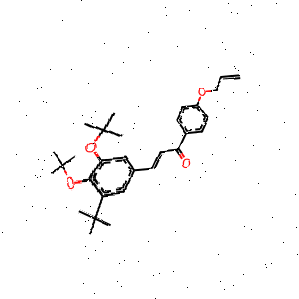 C=CCOc1ccc(C(=O)C=Cc2cc(OC(C)(C)C)c(OC(C)(C)C)c(C(C)(C)C)c2)cc1